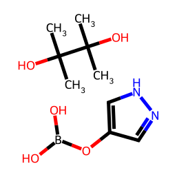 CC(C)(O)C(C)(C)O.OB(O)Oc1cn[nH]c1